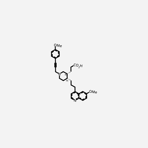 COc1ccc(C#CCN2CC[C@@H](CCCc3ccnc4ccc(OC)cc34)[C@@H](CCC(=O)O)C2)cc1